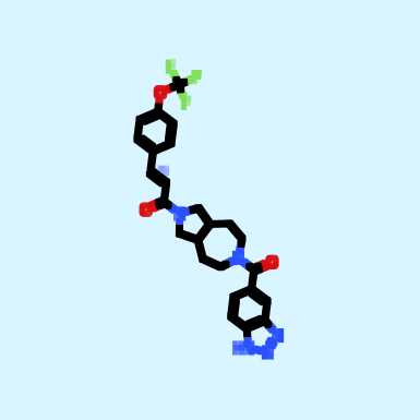 O=C(/C=C/c1ccc(OC(F)(F)F)cc1)N1CC2CCN(C(=O)c3ccc4[nH]nnc4c3)CCC2C1